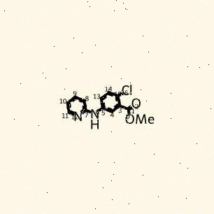 COC(=O)c1cc(Nc2ccccn2)ccc1Cl